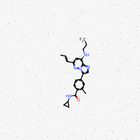 C/C=C/c1cc(NCCC(F)(F)F)c2ncc(-c3ccc(C(=O)NC4CC4)c(C)c3)n2n1